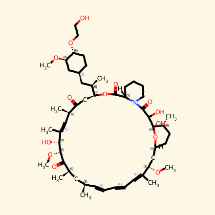 CO[C@H]1C[C@@H]2CC[C@@H](C)[C@@](O)(O2)C(O)C(=O)N2CCCC[C@H]2C(=O)O[C@H]([C@H](C)C[C@@H]2CC[C@@H](OCCO)[C@H](OC)C2)CC(=O)[C@H](C)/C=C(\C)[C@@H](O)[C@@H](OC)C(=O)[C@H](C)C[C@H](C)/C=C/C=C/C=C/1C